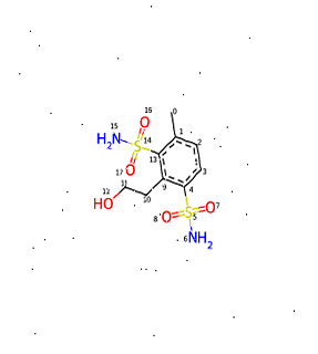 Cc1ccc(S(N)(=O)=O)c(CCO)c1S(N)(=O)=O